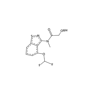 COCC(=O)N(C)c1nsc2cccc(OC(F)F)c12